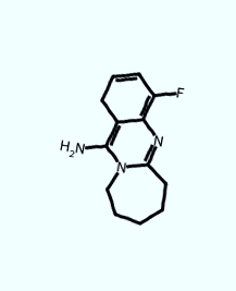 NC1=C2CC=CC(F)=C2N=C2CCCCCN21